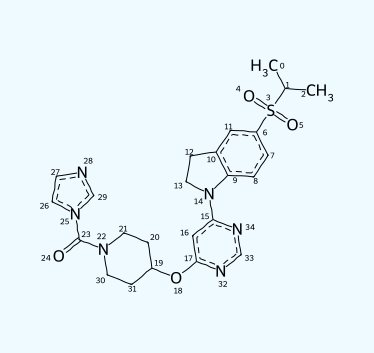 CC(C)S(=O)(=O)c1ccc2c(c1)CCN2c1cc(OC2CCN(C(=O)n3ccnc3)CC2)ncn1